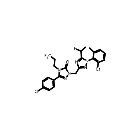 CCc1cccc(C)c1-n1nc(Cn2nc(-c3ccc(Cl)cc3)n(CCC(F)(F)F)c2=O)nc1C(C)F